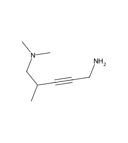 CC(C#CCN)CN(C)C